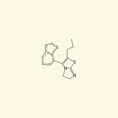 CCCC1=C(c2cccc3ccsc23)N2CCN=C2S1